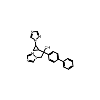 OC(Cn1cncn1)(c1ccc(-c2ccccc2)cc1)C1CC1n1cncn1